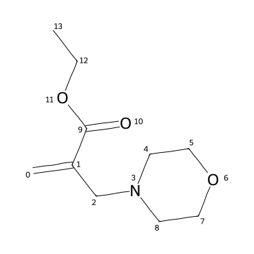 C=C(CN1CCOCC1)C(=O)OCC